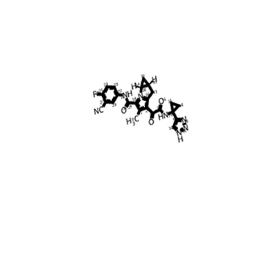 Cc1c(C(=O)C(=O)NC2(c3c[nH]nn3)CC2)c2n(c1C(=O)Nc1ccc(F)c(C#N)c1)[C@@H]1C[C@@H]1C2